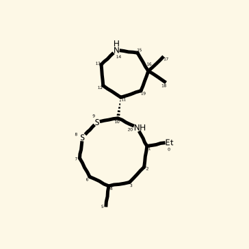 CCC1CCC(C)CCSSC([C@@H]2CCNCC(C)(C)C2)N1